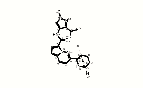 Cn1cc(NC(=O)c2ccc3ccc(N4C[C@H]5CC[C@@H]4CN5)nn23)c(C(F)F)n1